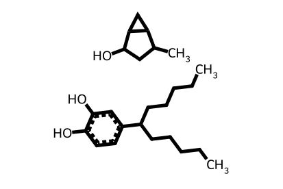 CC1CC(O)C2CC12.CCCCCC(CCCCC)c1ccc(O)c(O)c1